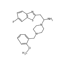 COc1ccccc1CN1CCN(C(N)Cc2nc3ccc(F)cc3s2)CC1